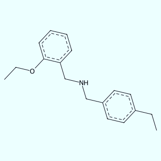 CCOc1ccccc1CNCc1ccc(CC)cc1